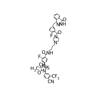 CC1(C)C(=O)N(c2ccc(C#N)c(C(F)(F)F)c2)C(=S)N1c1ccc(C(=O)NCCCCN2CCN(C(=O)c3cc(Cc4n[nH]c(=O)c5ccccc45)ccc3F)CC2)c(F)c1